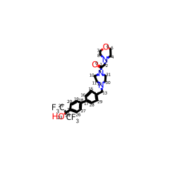 O=C(CN1CCOCC1)N1CCN(Cc2ccc(-c3ccc(C(O)(C(F)(F)F)C(F)(F)F)cc3)cc2)CC1